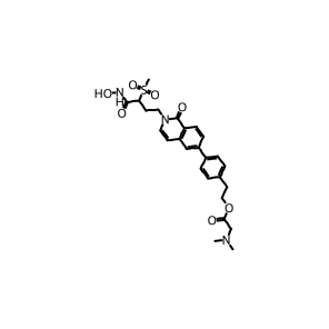 CN(C)CC(=O)OCCc1ccc(-c2ccc3c(=O)n(CCC(C(=O)NO)S(C)(=O)=O)ccc3c2)cc1